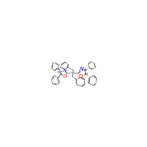 c1ccc(CC(Cc2ccccc2)(C2=N[C@H](c3ccccc3)[C@H](c3ccccc3)O2)C2=N[C@H](c3ccccc3)[C@H](c3ccccc3)O2)cc1